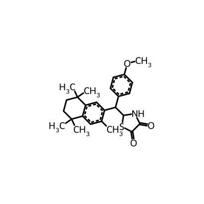 COc1ccc(C(c2cc3c(cc2C)C(C)(C)CCC3(C)C)C2NC(=O)C(=O)S2)cc1